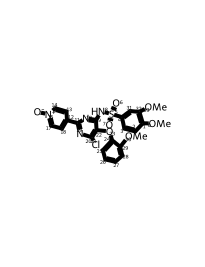 COc1ccc(S(=O)(=O)Nc2nc(-c3cc[n+]([O-])cc3)nc(Cl)c2Oc2ccccc2OC)cc1OC